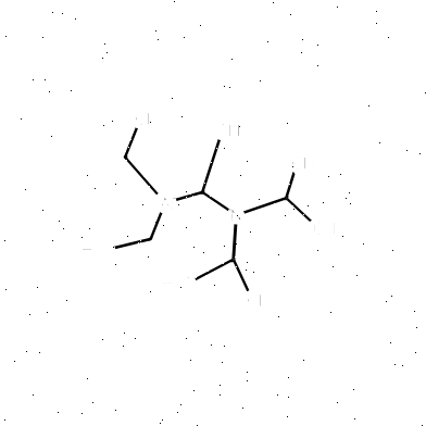 C[CH2][Al]([CH2]C)[CH](C)N(C(C)C)C(C)C